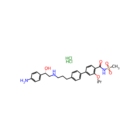 CC(C)Oc1cc(-c2ccc(CCCNC[C@@H](O)c3ccc(N)cc3)cc2)ccc1C(=O)NS(C)(=O)=O.Cl.Cl